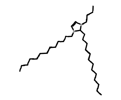 CCCCCCCCCCCCCC1N(CCCC)C=CN1CCCCCCCCCCCCC